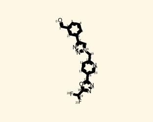 O=Cc1cccc(-c2cn(Cc3ccc(-c4nnc(C(F)F)o4)cn3)nn2)c1